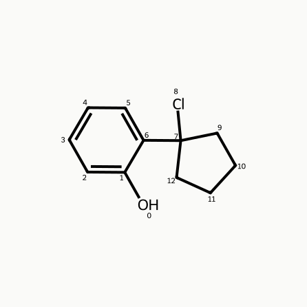 Oc1ccccc1C1(Cl)CCCC1